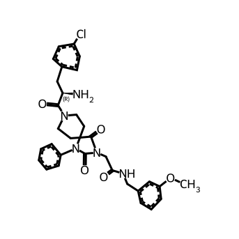 COc1cccc(CNC(=O)CN2C(=O)N(c3ccccc3)C3(CCN(C(=O)[C@H](N)Cc4ccc(Cl)cc4)CC3)C2=O)c1